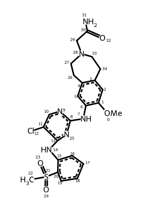 COc1cc2c(cc1Nc1ncc(Cl)c(Nc3ccccc3S(C)(=O)=O)n1)CCN(CC(N)=O)CC2